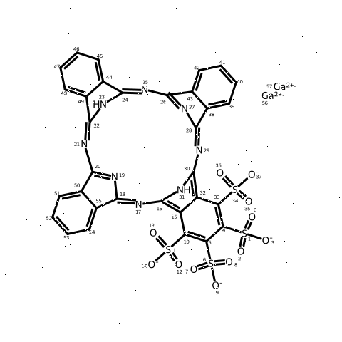 O=S(=O)([O-])c1c(S(=O)(=O)[O-])c(S(=O)(=O)[O-])c2c3nc4nc(nc5[nH]c(nc6nc(nc([nH]3)c2c1S(=O)(=O)[O-])-c1ccccc1-6)c1ccccc51)-c1ccccc1-4.[Ga+2].[Ga+2]